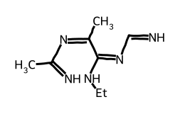 CCNC(=N/C=N)/C(C)=N\C(C)=N